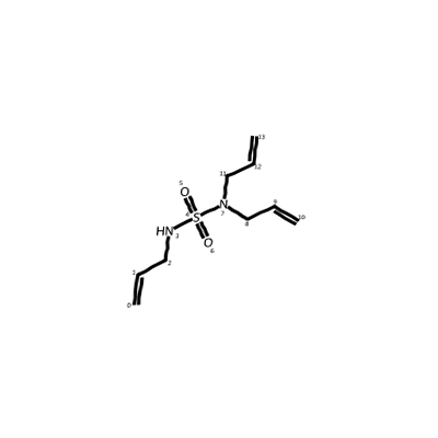 C=CCNS(=O)(=O)N(CC=C)CC=C